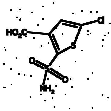 NS(=O)(=O)c1sc(Cl)cc1C(=O)O